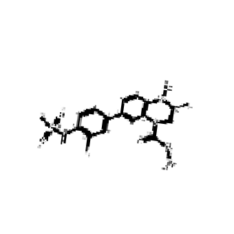 CC(=O)N1c2ccc(-c3ccc(NS(C)(=O)=O)c(F)c3)cc2N(C(=O)OC(C)C)C[C@@H]1C